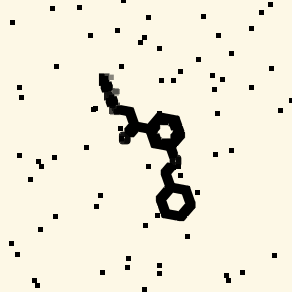 [N-]=[N+]=NCC(=O)c1cccc(OCC2CCCCC2)c1